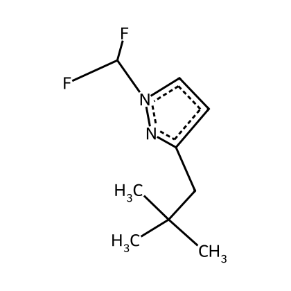 CC(C)(C)Cc1ccn(C(F)F)n1